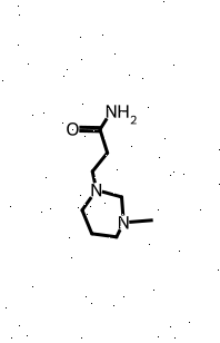 CN1CCCN(CCC(N)=O)C1